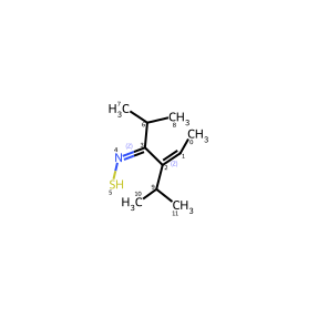 C/C=C(\C(=N/S)C(C)C)C(C)C